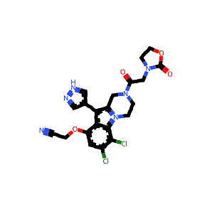 N#CCOc1cc(Cl)c(Cl)c2c1c(-c1cn[nH]c1)c1n2CCN(C(=O)CN2CCOC2=O)C1